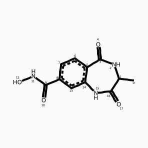 CC1NC(=O)c2ccc(C(=O)NO)cc2NC1=O